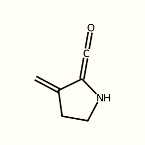 C=C1CCNC1=C=O